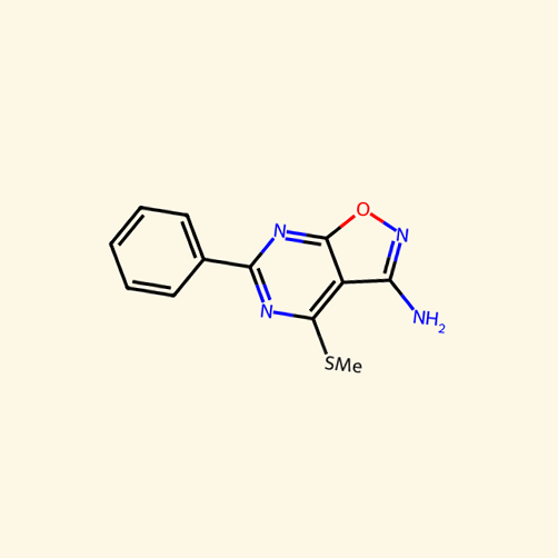 CSc1nc(-c2ccccc2)nc2onc(N)c12